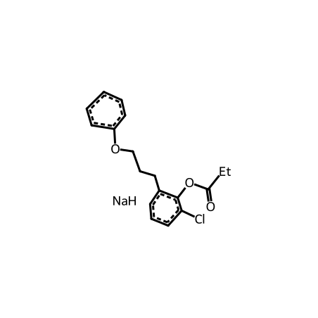 CCC(=O)Oc1c(Cl)cccc1CCCOc1ccccc1.[NaH]